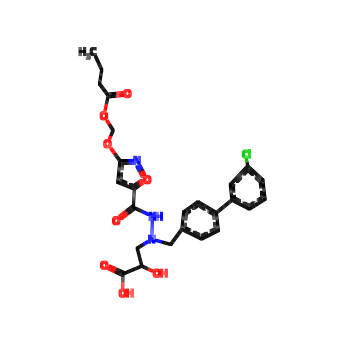 CCCC(=O)OCOc1cc(C(=O)NN(Cc2ccc(-c3cccc(Cl)c3)cc2)CC(O)C(=O)O)on1